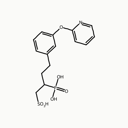 O=P(O)(O)C(CCc1cccc(Oc2ccccn2)c1)CS(=O)(=O)O